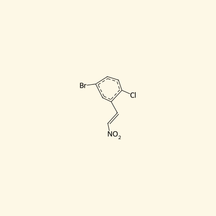 O=[N+]([O-])/C=C/c1cc(Br)ccc1Cl